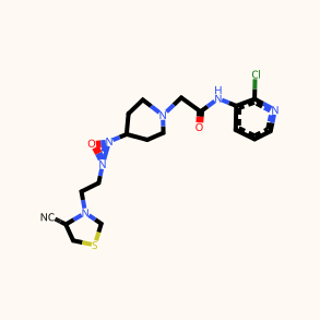 N#CC1CSCN1CCn1on1C1CCN(CC(=O)Nc2cccnc2Cl)CC1